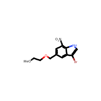 COCCOCc1cc([N+](=O)[O-])c2[nH]cc(Br)c2c1